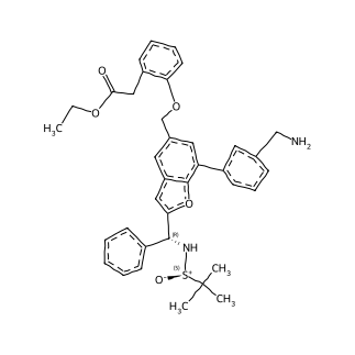 CCOC(=O)Cc1ccccc1OCc1cc(-c2cccc(CN)c2)c2oc([C@H](N[S@+]([O-])C(C)(C)C)c3ccccc3)cc2c1